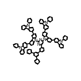 c1ccc(-c2cc(-c3ccccc3)cc(-c3cccc(-c4cc(-n5c6ccc(-c7ccc8c(c7)c7ccccc7n8-c7ccccc7)cc6c6cc(-c7ccc8c(c7)c7ccccc7n8-c7ccccc7)ccc65)nc(-n5c6ccc(-c7ccc8c(c7)c7ccccc7n8-c7ccccc7)cc6c6cc(-c7ccc8c(c7)c7ccccc7n8-c7ccccc7)ccc65)n4)c3)c2)cc1